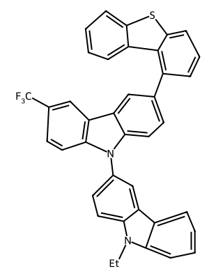 CCn1c2ccccc2c2cc(-n3c4ccc(-c5cccc6sc7ccccc7c56)cc4c4cc(C(F)(F)F)ccc43)ccc21